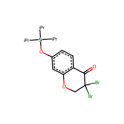 CC(C)[Si](Oc1ccc2c(c1)OCC(Br)(Br)C2=O)(C(C)C)C(C)C